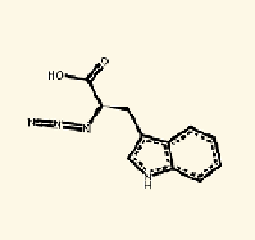 [N-]=[N+]=N[C@H](Cc1c[nH]c2ccccc12)C(=O)O